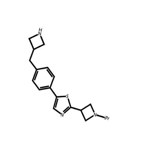 CC(C)N1CC(c2ncc(-c3ccc(CC4CNC4)cc3)s2)C1